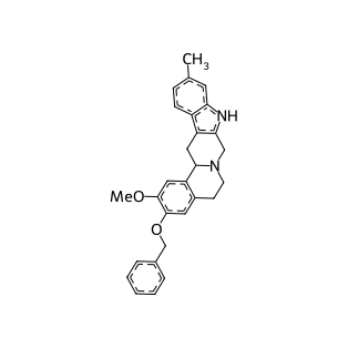 COc1cc2c(cc1OCc1ccccc1)CCN1Cc3[nH]c4cc(C)ccc4c3CC21